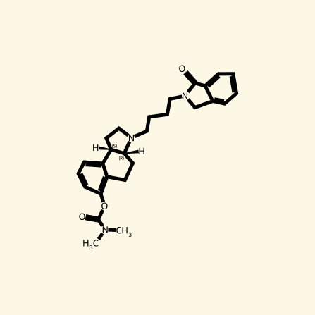 CN(C)C(=O)Oc1cccc2c1CC[C@@H]1[C@H]2CCN1CCCCN1Cc2ccccc2C1=O